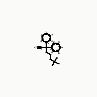 CC(C)(C)CCCC(C#N)(c1ccccc1)c1ccccc1